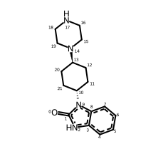 O=c1[nH]c2ccccc2n1[C@H]1CC[C@H](N2CCNCC2)CC1